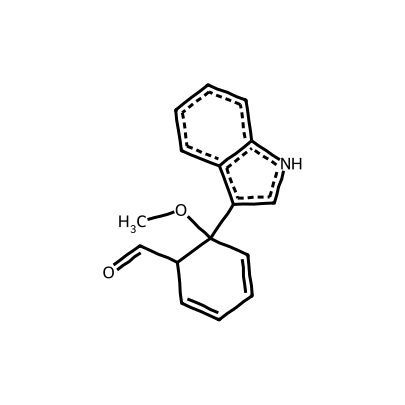 COC1(c2c[nH]c3ccccc23)C=CC=CC1C=O